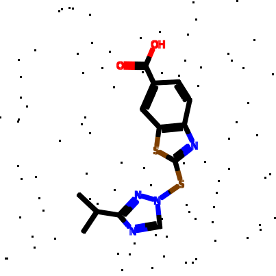 CC(C)c1ncn(Sc2nc3ccc(C(=O)O)cc3s2)n1